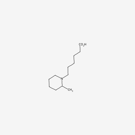 CC1CCCCN1CCCCCC(=O)O